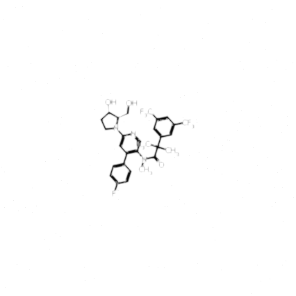 CN(C(=O)C(C)(C)c1cc(C(F)(F)F)cc(C(F)(F)F)c1)c1cnc(N2CC[C@H](O)[C@H]2CO)cc1-c1ccc(F)cc1